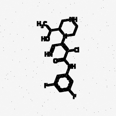 CC(O)C1CNCCN1/C(C=N)=C(\Cl)C(=O)Nc1cc(F)cc(F)c1